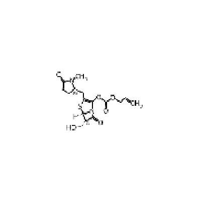 C=CCOC(=O)OC1=C(C[C@H]2CCC(=O)N2C)S[C@@H]2[C@@H](CO)C(=O)N12